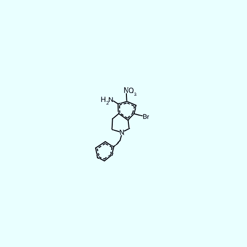 Nc1c([N+](=O)[O-])cc(Br)c2c1CCN(Cc1ccccc1)C2